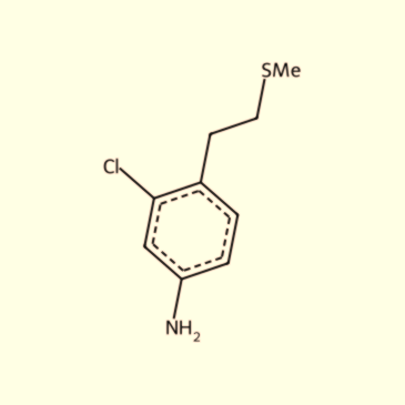 CSCCc1ccc(N)cc1Cl